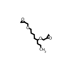 CCCC(CCCCOCC1CO1)OCC1CO1